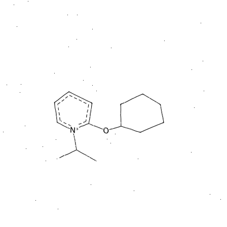 CC(C)[n+]1ccccc1OC1CCCCC1